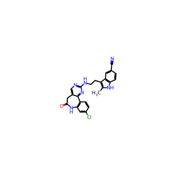 Cc1[nH]c2ccc(C#N)cc2c1CCNc1ncc2c(n1)-c1ccc(Cl)cc1NC(=O)C2